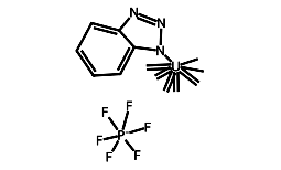 F[P-](F)(F)(F)(F)F.[CH2]=[U](=[CH2])(=[CH2])(=[CH2])(=[CH2])([CH3])([CH3])[n]1nnc2ccccc21